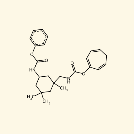 CC1(C)CC(NC(=O)Oc2ccccc2)CC(C)(CNC(=O)OC2=CC=CCC=C2)C1